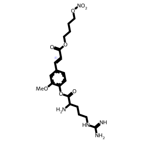 COc1cc(/C=C/C(=O)OCCCCO[N+](=O)[O-])ccc1OC(=O)C(N)CCCNC(=N)N